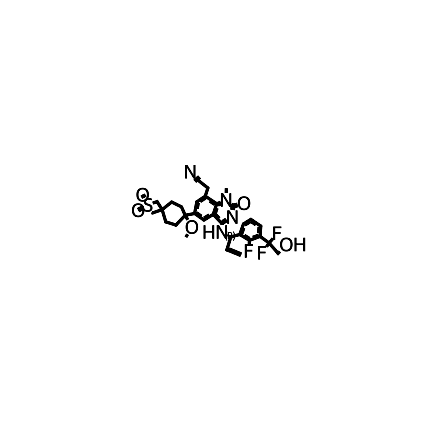 C=C[C@@H](Nc1nc(=O)n(C)c2c(CC#N)cc(C3(OC)CCC4(CC3)CS(=O)(=O)C4)cc12)c1cccc(C(F)(F)CO)c1F